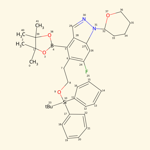 CC1(C)OB(c2c(CCO[Si](c3ccccc3)(c3ccccc3)C(C)(C)C)c(F)cc3c2cnn3C2CCCCO2)OC1(C)C